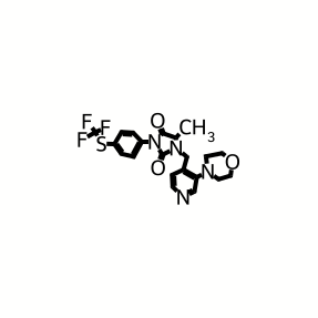 CC1C(=O)N(c2ccc(SC(F)(F)F)cc2)C(=O)N1Cc1ccncc1N1CCOCC1